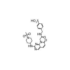 CS(=O)(=O)N1CCC(Nc2ncc3ccc(=O)n(CC(=O)NCc4ccc(S(=O)(=O)O)cc4)c3n2)CC1